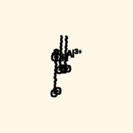 CCCCCCCCCCCCCCCCCC(=O)[O-].CCCCCCCCCCCCCCCCCC(=O)[O-].CCCCCCCCCCCCCCCCCC(=O)[O-].Cc1ccccc1C(=O)O.[Al+3]